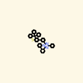 C1=CC(c2ccccc2)C(c2nc(-c3ccccc3)nc(-c3cccc(-c4ccc5c(c4)C(c4ccccc4)(c4ccccc4)c4ccccc4S5)c3)n2)C=C1